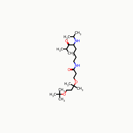 CC(C)NC(CCCCNC(=O)CCOC(C)(C)CCOC(C)(C)C)C(=O)C(C)C